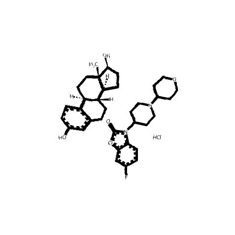 C[C@]12CC[C@@H]3c4ccc(O)cc4CC[C@H]3[C@@H]1CC[C@@H]2O.Cl.O=c1oc2cc(F)ccc2n1C1CCN(C2CCOCC2)CC1